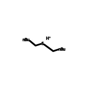 CCCCCSCCCCC.[H+]